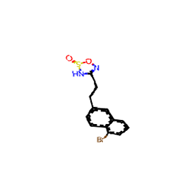 O=S1NC(CCc2ccc3c(Br)cccc3c2)=NO1